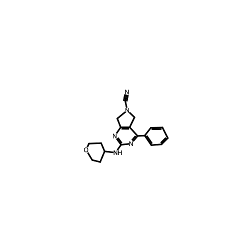 N#CN1Cc2nc(NC3CCOCC3)nc(-c3ccccc3)c2C1